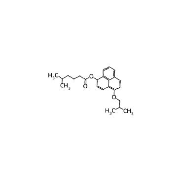 CC(C)CCCC(=O)OC1C=Cc2c(OCC(C)C)ccc3cccc1c23